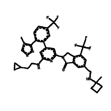 Cn1cnnc1-c1ccc(C(F)(F)F)cc1-c1cc(NCCC2CC2)nc(N2Cc3c(cc(CNC4(C)CCC4)cc3C(F)(F)F)C2=O)c1